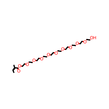 CC=C(C)C(=O)OCCOCCOCCOCCOCCOCCOCCOCCOCCOCCO